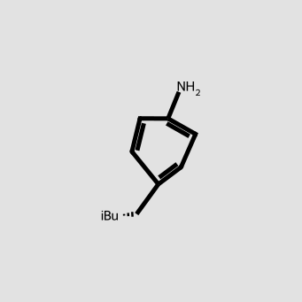 CC[C@@H](C)Cc1ccc(N)cc1